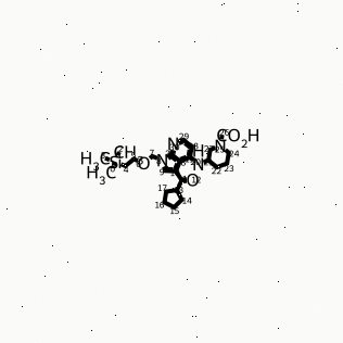 C[Si](C)(C)CCOCn1cc(C(=O)C2CCCC2)c2c(NC3CCCN(C(=O)O)C3)ccnc21